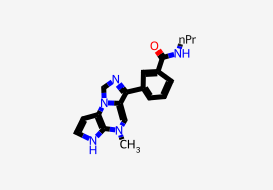 CCCNC(=O)c1cccc(C2=NCN3C2=CN(C)c2[nH]ccc23)c1